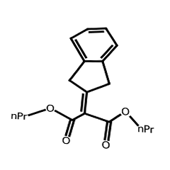 CCCOC(=O)C(C(=O)OCCC)=C1Cc2ccccc2C1